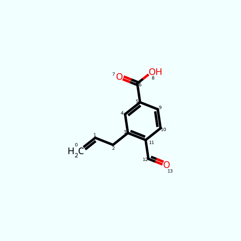 C=CCc1cc(C(=O)O)ccc1C=O